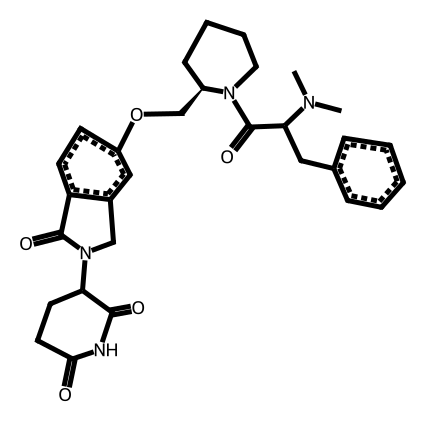 CN(C)C(Cc1ccccc1)C(=O)N1CCCC[C@@H]1COc1ccc2c(c1)CN(C1CCC(=O)NC1=O)C2=O